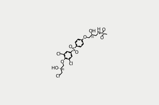 CS(=O)(=O)NC[C@H](O)COc1ccc(S(=O)(=O)c2cc(Cl)c(OC[C@@H](O)CCl)c(Cl)c2)cc1